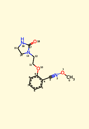 CO[N+]#Cc1ccccc1OCCN1CCNC1=O